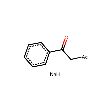 CC(=O)CC(=O)c1ccccc1.[NaH]